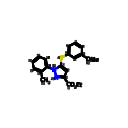 CCOC(=O)c1cc(Sc2cccc(OC)c2)n(-c2ccccc2C)n1